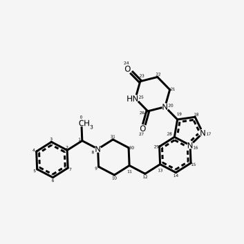 CC(c1ccccc1)N1CCC(Cc2ccn3ncc(N4CCC(=O)NC4=O)c3c2)CC1